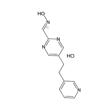 Cl.O/N=C/c1ncc(CCc2cccnc2)cn1